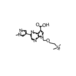 Cn1cc(-c2cnc3c(n2)c(C(=O)O)cn3COCC[Si](C)(C)C)cn1